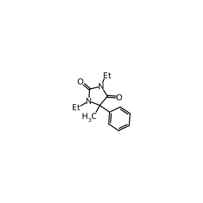 CCN1C(=O)N(CC)C(C)(c2ccccc2)C1=O